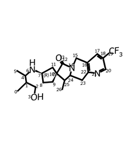 CC(CO)C(C)N[C@@H]1CC[C@@]2(C1)C(=O)N1Cc3cc(C(F)(F)F)cnc3CC1C2C